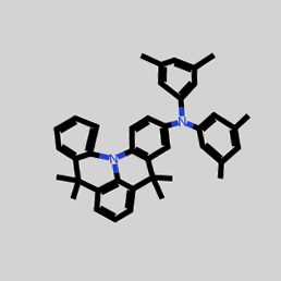 Cc1cc(C)cc(N(c2cc(C)cc(C)c2)c2ccc3c(c2)C(C)(C)c2cccc4c2N3c2ccccc2C4(C)C)c1